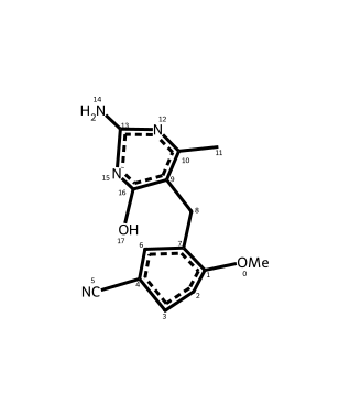 COc1ccc(C#N)cc1Cc1c(C)nc(N)nc1O